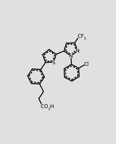 O=C(O)CCc1cccc(-c2ccc(-c3cc(C(F)(F)F)nn3-c3ccccc3Cl)s2)c1